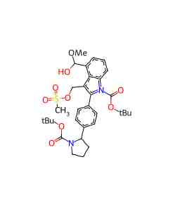 COC(O)c1cccc2c1c(COS(C)(=O)=O)c(-c1ccc(C3CCCN3C(=O)OC(C)(C)C)cc1)n2C(=O)OC(C)(C)C